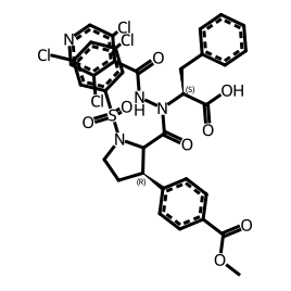 COC(=O)c1ccc([C@H]2CCN(S(=O)(=O)c3cc(Cl)cc(Cl)c3)C2C(=O)N(NC(=O)c2c(Cl)cncc2Cl)[C@@H](Cc2ccccc2)C(=O)O)cc1